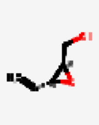 C=C[C@H]1O[C@@H]1CO